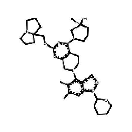 Cc1cc2c(cnn2C2CCCCO2)c(N2CCc3c(nc(OCC45CCCN4CCC5)nc3N3CCC[C@@](C)(O)C3)C2)c1C